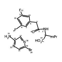 CCCC(NC(=O)Cc1cc(F)cc(F)c1)C(=O)O.Nc1cnc(Br)cn1